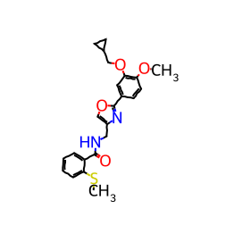 COc1ccc(-c2nc(CNC(=O)c3ccccc3SC)co2)cc1OCC1CC1